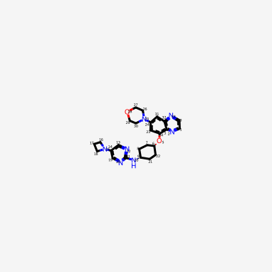 c1cnc2c(O[C@H]3CC[C@@H](Nc4ncc(N5CCC5)cn4)CC3)cc(N3CCOCC3)cc2n1